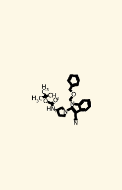 CC(C)(C)OC(=O)N[C@H]1CCN(c2c(C#N)c3ccccc3n2COCc2ccccc2)C1